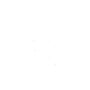 C=C(O)c1c(/C=C\C)ccc(/N=N\c2cccc(S(=O)(=O)c3ccccc3)c2)c1N